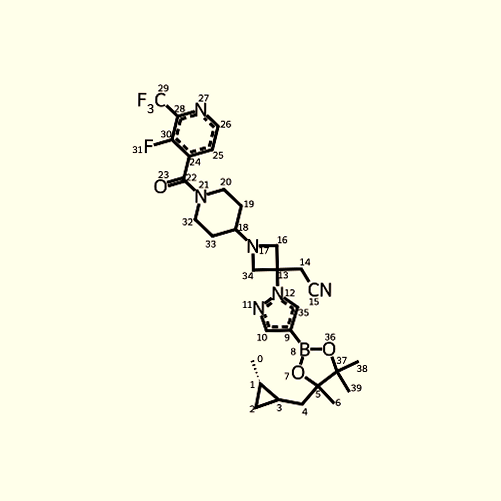 C[C@H]1CC1CC1(C)OB(c2cnn(C3(CC#N)CN(C4CCN(C(=O)c5ccnc(C(F)(F)F)c5F)CC4)C3)c2)OC1(C)C